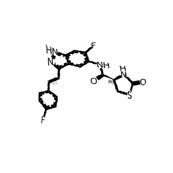 O=C1N[C@H](C(=O)Nc2cc3c(/C=C/c4ccc(F)cc4)n[nH]c3cc2F)CS1